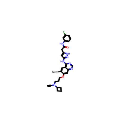 C#CN(CCCOc1cc2ncnc(Nc3cc(CC(=O)Nc4cccc(F)c4)[nH]n3)c2cc1OC)C1CCC1